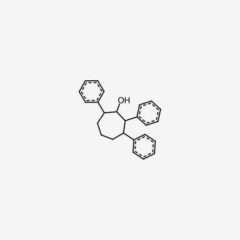 OC1C(c2ccccc2)CCCC(c2ccccc2)C1c1ccccc1